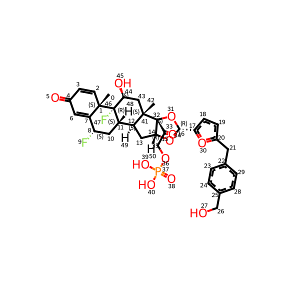 C[C@]12C=CC(=O)C=C1[C@@H](F)C[C@H]1[C@@H]3C[C@H]4O[C@@H](c5ccc(Cc6ccc(CO)cc6)o5)O[C@@]4(C(=O)COP(=O)(O)O)[C@@]3(C)C[C@H](O)[C@@]12F